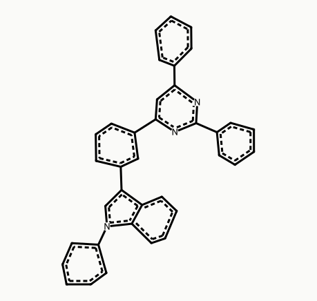 c1ccc(-c2cc(-c3cccc(-c4cn(-c5ccccc5)c5ccccc45)c3)nc(-c3ccccc3)n2)cc1